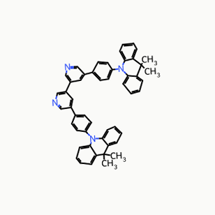 CC1(C)c2ccccc2N(c2ccc(-c3cncc(-c4cncc(-c5ccc(N6c7ccccc7C(C)(C)c7ccccc76)cc5)c4)c3)cc2)c2ccccc21